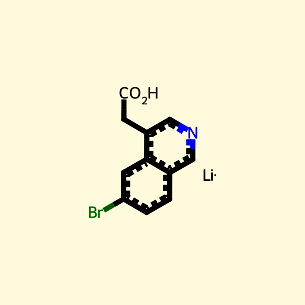 O=C(O)Cc1cncc2ccc(Br)cc12.[Li]